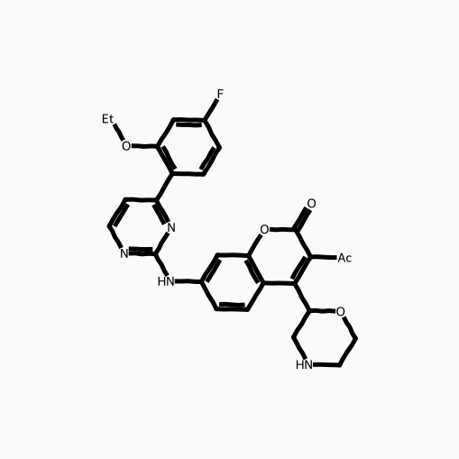 CCOc1cc(F)ccc1-c1ccnc(Nc2ccc3c(C4CNCCO4)c(C(C)=O)c(=O)oc3c2)n1